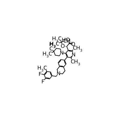 Cc1cc(CN2CCc3cc(-c4c(C)nc(C)c([C@H](OC(C)(C)C)C(=O)O)c4N4CCC(C)(C)CC4)ccc3C2)cc(F)c1F